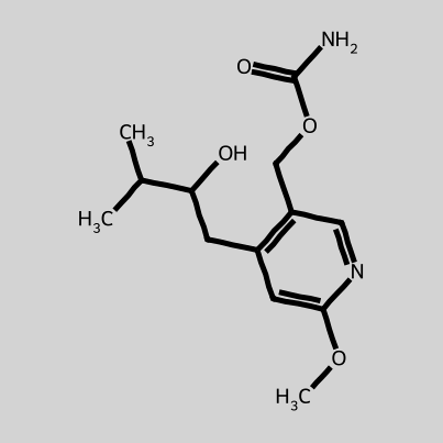 COc1cc(CC(O)C(C)C)c(COC(N)=O)cn1